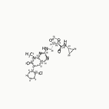 Cn1c(=O)c(-c2ccccc2Cl)cc2cnc(NC[C@@H]3OCO[C@H]3C(=O)NC3CC3)nc21